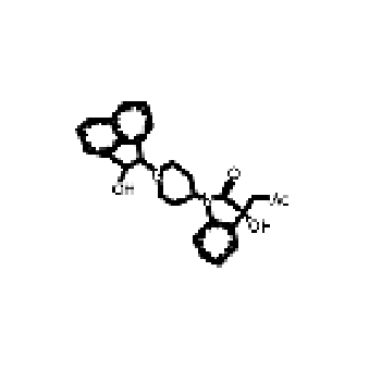 CC(=O)CC1(O)C(=O)N(C2CCN(C3c4cccc5cccc(c45)C3O)CC2)c2ccccc21